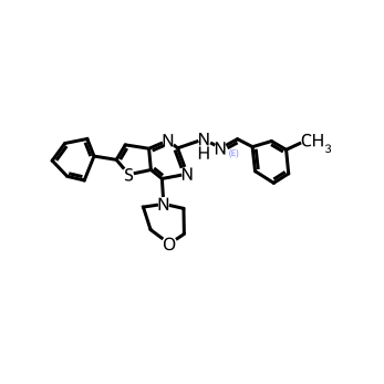 Cc1cccc(/C=N/Nc2nc(N3CCOCC3)c3sc(-c4ccccc4)cc3n2)c1